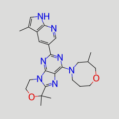 Cc1c[nH]c2ncc(-c3nc(N4CCCOCC(C)C4)c4nc5n(c4n3)CCOC5(C)C)cc12